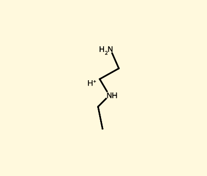 CCNCCN.[H+]